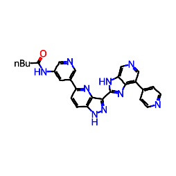 CCCCC(=O)Nc1cncc(-c2ccc3[nH]nc(-c4nc5c(-c6ccncc6)cncc5[nH]4)c3n2)c1